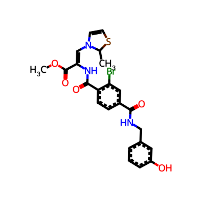 COC(=O)/C(=C/N1C=CSC1C)NC(=O)c1ccc(C(=O)NCc2cccc(O)c2)cc1Br